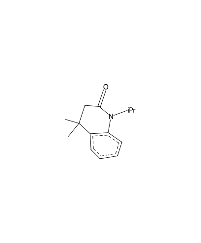 CC(C)N1C(=O)CC(C)(C)c2ccccc21